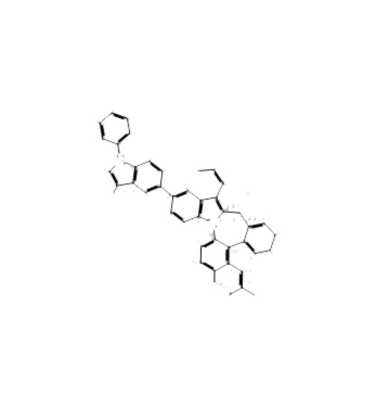 C/C=C\c1c2n(c3ccc(-c4ccc5c(c4)c(CC)cn5-c4ccccc4)cc13)-c1ccc(O)c(C=C(C)C)c1C1=CCCC=C1[C@H]2C